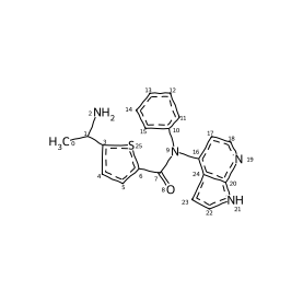 CC(N)c1ccc(C(=O)N(c2ccccc2)c2ccnc3[nH]ccc23)s1